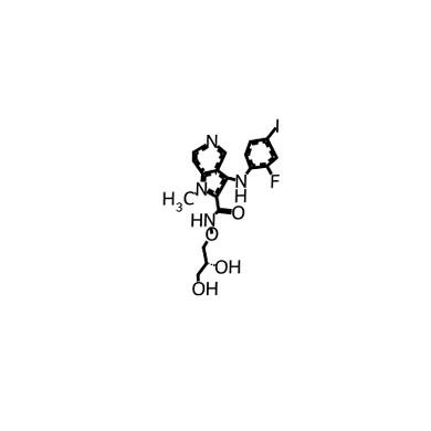 Cn1c(C(=O)NOC[C@H](O)CO)c(Nc2ccc(I)cc2F)c2cnccc21